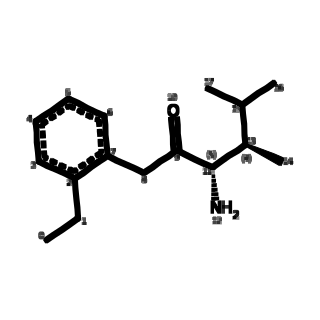 CCc1ccccc1CC(=O)[C@@H](N)[C@H](C)C(C)C